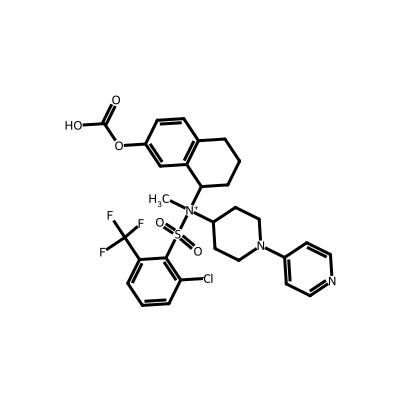 C[N+](C1CCN(c2ccncc2)CC1)(C1CCCc2ccc(OC(=O)O)cc21)S(=O)(=O)c1c(Cl)cccc1C(F)(F)F